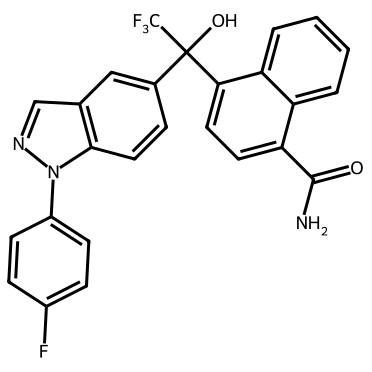 NC(=O)c1ccc(C(O)(c2ccc3c(cnn3-c3ccc(F)cc3)c2)C(F)(F)F)c2ccccc12